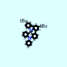 CC(C)(C)c1ccc2c(c1)c1cc(C(C)(C)C)cc3c1n2B1c2ccccc2N(c2ccccc2)c2cccc-3c21